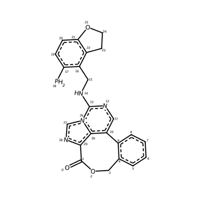 O=C1OCc2ccccc2-c2cnc(NCc3c(P)ccc4c3CCO4)n3cnc1c23